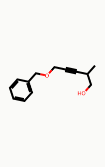 CC(C#CCOCc1ccccc1)CO